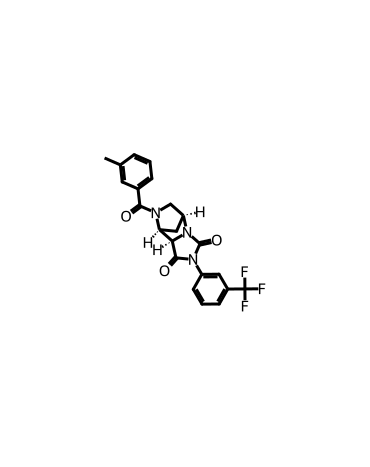 Cc1cccc(C(=O)N2C[C@@H]3C[C@H]2[C@@H]2C(=O)N(c4cccc(C(F)(F)F)c4)C(=O)N32)c1